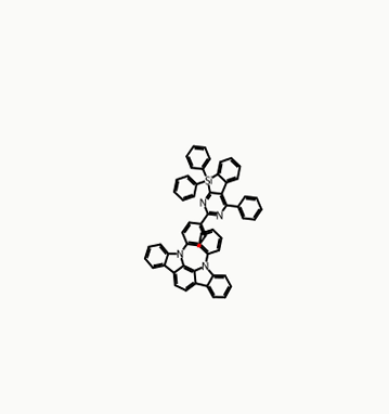 c1ccc(-c2nc(-c3ccc(-n4c5ccccc5c5ccc6c7ccccc7n(-c7ccccc7)c6c54)cc3)nc3c2-c2ccccc2[Si]3(c2ccccc2)c2ccccc2)cc1